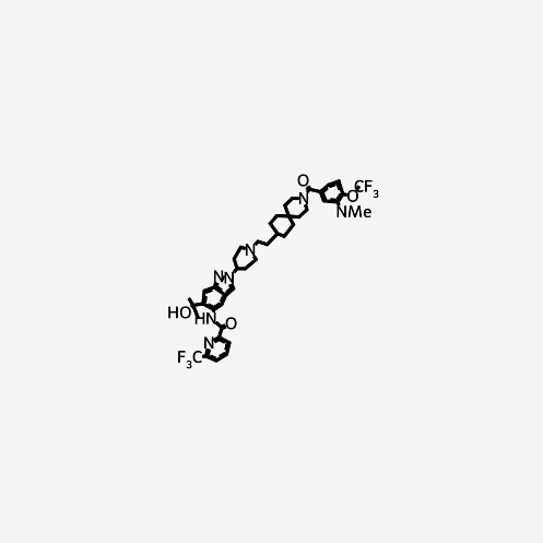 CNc1cc(C(=O)N2CCC3(CCC(CCN4CCC(n5cc6cc(NC(=O)c7cccc(C(F)(F)F)n7)c(C(C)(C)O)cc6n5)CC4)CC3)CC2)ccc1OC(F)(F)F